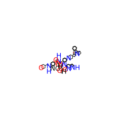 CC(C)c1ccccc1[C@@H]1CCCN1C1CC2(CCN(c3ccc(C(=O)NS(=O)(=O)c4ccc(NCC5CCOCC5)c([N+](=O)[O-])c4)c(N4C[C@@H]5COC[C@H]5Oc5nc6[nH]ccc6cc54)c3)CC2)C1